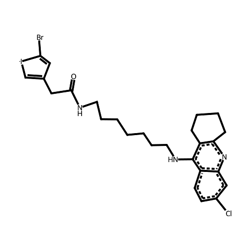 O=C(CC1=C[I]C(Br)=C1)NCCCCCCCNc1c2c(nc3cc(Cl)ccc13)CCCC2